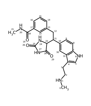 CNCCc1c[nH]c2ccc(C(Cc3cccc(C(=O)NC)c3)C3NC(=O)NC3=O)cc12